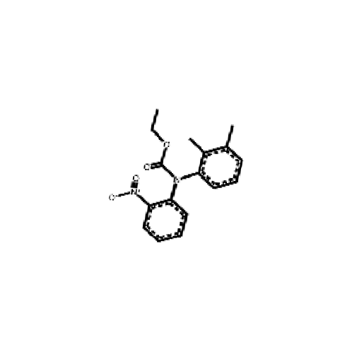 CCOC(=O)N(c1ccccc1[N+](=O)[O-])c1cccc(C)c1C